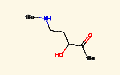 CC(C)(C)NCCC(O)C(=O)C(C)(C)C